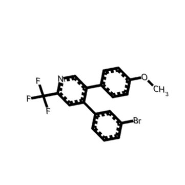 COc1ccc(-c2cnc(C(F)(F)F)cc2-c2cccc(Br)c2)cc1